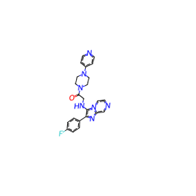 O=C(CNc1c(-c2ccc(F)cc2)nc2cnccn12)N1CCN(c2ccncc2)CC1